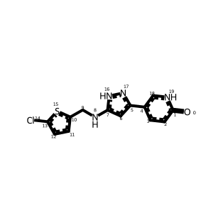 O=c1ccc(-c2cc(NCc3ccc(Cl)s3)[nH]n2)c[nH]1